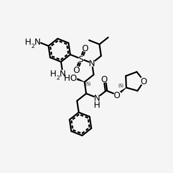 CC(C)CN(C[C@H](O)C(Cc1ccccc1)NC(=O)O[C@H]1CCOC1)S(=O)(=O)c1ccc(N)cc1N